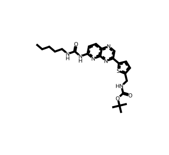 CCCCCNC(=O)Nc1ccc2ncc(-c3ccc(CNC(=O)OC(C)(C)C)s3)nc2n1